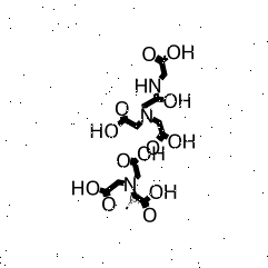 C[C@@H](C(=O)O)N(CC(=O)O)CC(=O)O.O=C(O)CNC(O)CN(CC(=O)O)CC(=O)O